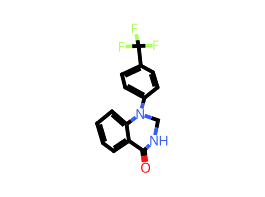 O=C1NCN(c2ccc(C(F)(F)F)cc2)c2ccccc21